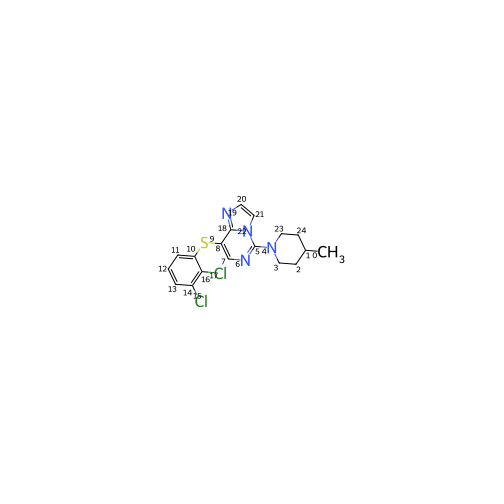 CC1CCN(c2ncc(Sc3cccc(Cl)c3Cl)c3nccn23)CC1